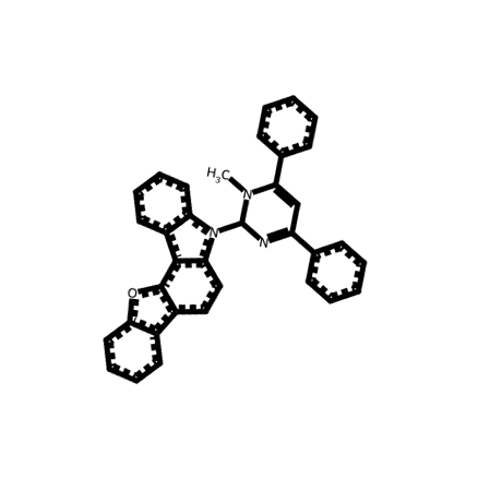 CN1C(c2ccccc2)=CC(c2ccccc2)=NC1n1c2ccccc2c2c3oc4ccccc4c3ccc21